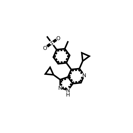 Cc1cc(-c2c(C3CC3)ncc3[nH]nc(C4CC4)c23)ccc1S(C)(=O)=O